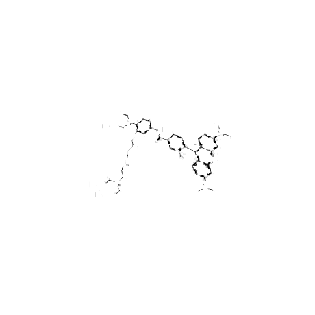 CN(C)c1ccc2c(-c3ccc(C(=O)Nc4ccc(N(CC(=O)O)CC(=O)O)c(OCCOCCN(CC(=O)O)CC(=O)O)c4)cc3C(=O)O)c3ccc(=[N+](C)C)cc-3oc2c1